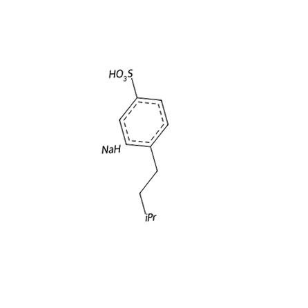 CC(C)CCc1ccc(S(=O)(=O)O)cc1.[NaH]